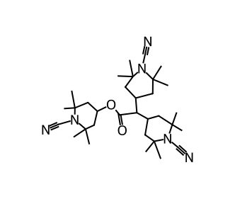 CC1(C)CC(OC(=O)C(C2CC(C)(C)N(C#N)C(C)(C)C2)C2CC(C)(C)N(C#N)C(C)(C)C2)CC(C)(C)N1C#N